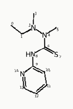 CCN(C)N(C)C(=S)Nc1ccccn1